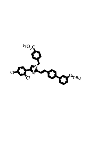 CCCCOc1cccc(-c2ccc(/C=C/c3nc(-c4ccc(Cl)cc4Cl)cn3Cc3ccc(C(=O)O)cc3)cc2)c1